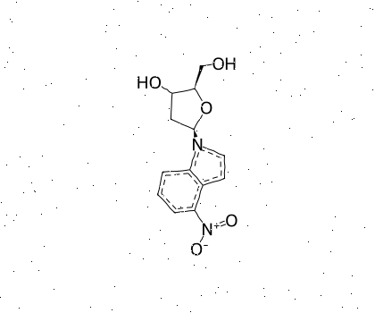 O=[N+]([O-])c1cccc2c1ccn2[C@H]1CC(O)[C@@H](CO)O1